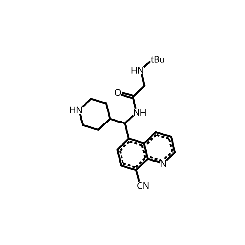 CC(C)(C)NCC(=O)NC(c1ccc(C#N)c2ncccc12)C1CCNCC1